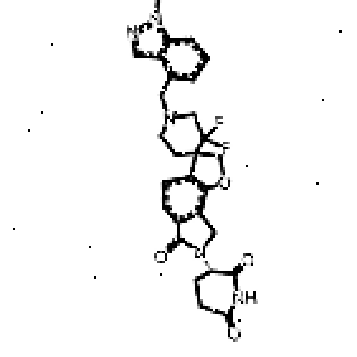 Cn1ncc2c(CN3CCC4(COc5c4ccc4c5CN([C@H]5CCC(=O)NC5=O)C4=O)C(F)(F)C3)cccc21